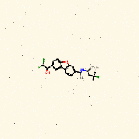 CCOC(=O)C(CC(C)(C)F)NC(c1ccc2c(c1)oc1ccc(C(O)C(F)F)cc12)C(F)(F)F